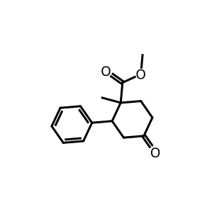 COC(=O)C1(C)CCC(=O)CC1c1ccccc1